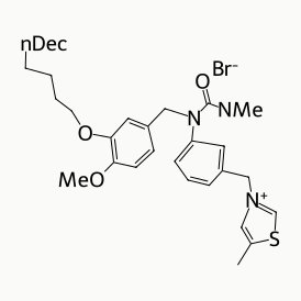 CCCCCCCCCCCCCCOc1cc(CN(C(=O)NC)c2cccc(C[n+]3csc(C)c3)c2)ccc1OC.[Br-]